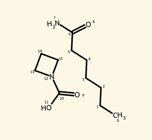 CCCCCCC(N)=O.O=C(O)N1CCC1